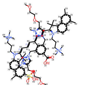 COCCOCc1cn(Cc2cc(C(=O)O)cc(Cn3cc(COCCOC)[n+](C)n3)c2C(=C\C=C\C2=[N+](CCC[N+](C)(C)C)c3ccc4c(C)cc(C)cc4c3C2(C)C)/C=C/C=C2/N(CCC[N+](C)(C)C)c3ccc4c(C)cc(S(=O)(=O)O)cc4c3C2(C)C)n[n+]1C